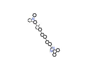 CC1c2ccc(-c3ccc4cc(-c5ccc6cc(-c7cnc8c9ccccc9c9ccccc9c8n7)ccc6c5)ccc4c3)cc2C=CC1c1ccc2c(c1)C1C=CC=CC1N2c1ccccc1